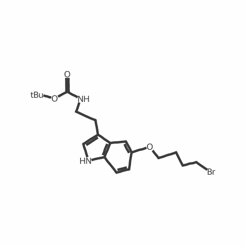 CC(C)(C)OC(=O)NCCc1c[nH]c2ccc(OCCCCBr)cc12